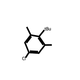 Cc1cc(Cl)cc(C)c1C(C)(C)C